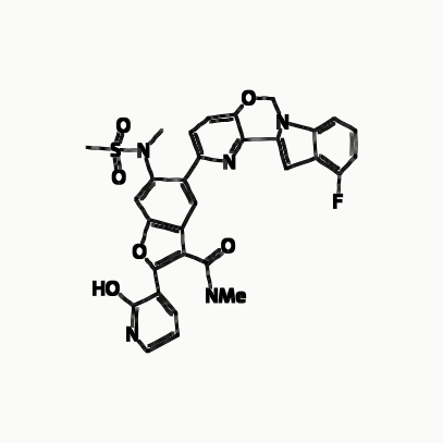 CNC(=O)c1c(-c2cccnc2O)oc2cc(N(C)S(C)(=O)=O)c(-c3ccc4c(n3)-c3cc5c(F)cccc5n3CO4)cc12